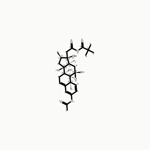 CC(=O)OC1=CC2=CC[C@H]3[C@@H]4C[C@@H](C)[C@](O)(CC(=O)OC(=O)C(C)(C)C)[C@@]4(C)C[C@@H]4O[C@@]43[C@@]2(C)C=C1